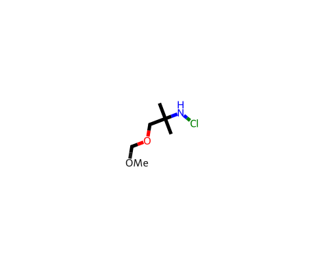 COCOCC(C)(C)NCl